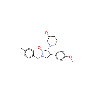 COc1ccc(C2CN(Cc3ccc(C)cc3)C(=O)C2N2CCCC(=O)C2)cc1